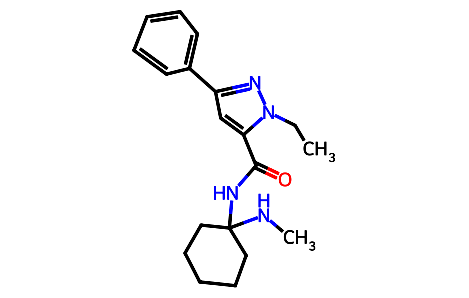 CCn1nc(-c2ccccc2)cc1C(=O)NC1(NC)CCCCC1